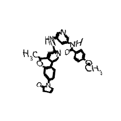 COc1ccc(C(=O)Nc2cncc(Nc3cc4c(cn3)-c3ccc(N5CCCC5=O)cc3OC4C)c2)cc1